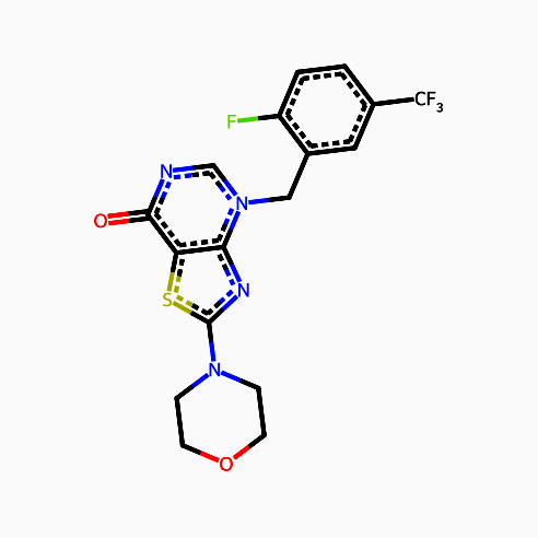 O=c1ncn(Cc2cc(C(F)(F)F)ccc2F)c2nc(N3CCOCC3)sc12